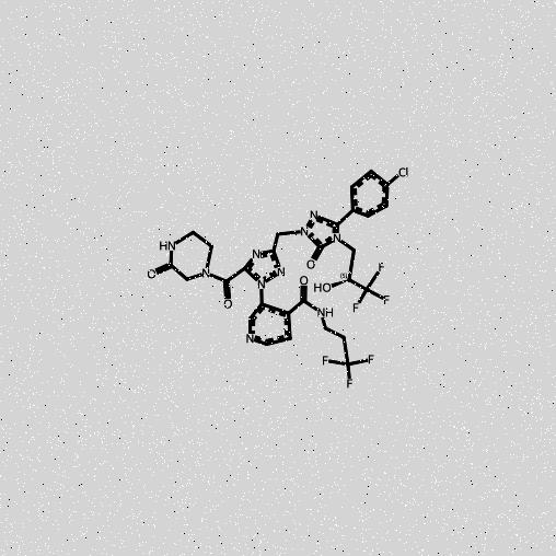 O=C1CN(C(=O)c2nc(Cn3nc(-c4ccc(Cl)cc4)n(C[C@H](O)C(F)(F)F)c3=O)nn2-c2cnccc2C(=O)NCCC(F)(F)F)CCN1